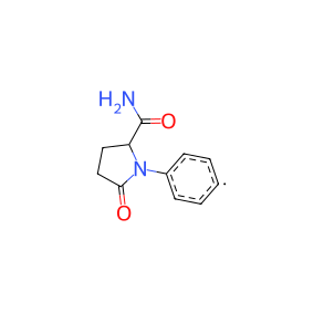 NC(=O)C1CCC(=O)N1c1cc[c]cc1